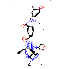 CCc1nc2c(cnn2CC)c(NC2CCOCC2)c1CNC(=O)c1cccc(C(=O)NCc2ccc(OC)c(C)c2)c1